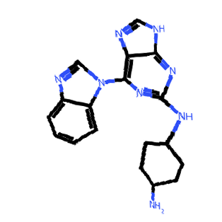 NC1CCC(Nc2nc(-n3cnc4ccccc43)c3nc[nH]c3n2)CC1